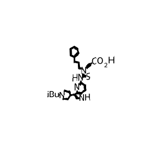 CCC(C)N1CCC(c2c[nH]c3ccc(NC(=S)N(C#CC(=O)O)CCCc4ccccc4)nc23)CC1